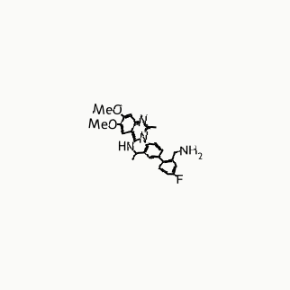 COc1cc2nc(C)nc(NC(C)c3cccc(-c4ccc(F)cc4CN)c3)c2cc1OC